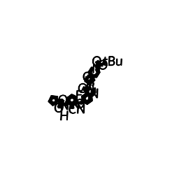 CC(C)(C)OC(=O)N1CCC2(CC1)C[C@@H](n1cnc3ccc(Oc4c(F)ccc(NS(=O)(=O)C5CCCC5)c4C#N)cc3c1=O)CO2